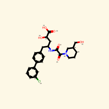 O=C(NC(Cc1ccc(-c2cccc(Cl)c2)cc1)CC(O)C(=O)O)C(=O)N1CCCC(CO)C1